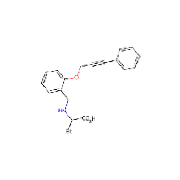 CCC(NCc1ccccc1OCC#Cc1ccccc1)C(=O)O